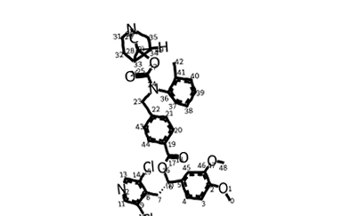 COc1ccc([C@H](Cc2c(Cl)cncc2Cl)OC(=O)c2ccc(CN(C(=O)O[C@H]3CN4CCC3CC4)c3ccccc3C)cc2)cc1OC